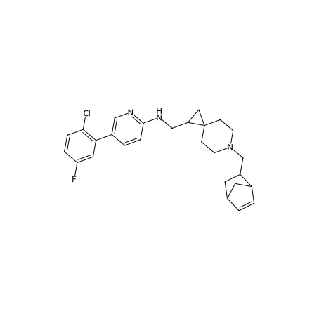 Fc1ccc(Cl)c(-c2ccc(NCC3CC34CCN(CC3CC5C=CC3C5)CC4)nc2)c1